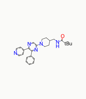 CC(C)(C)C(=O)NCC1CCN(c2cnc(-c3ccncc3)c(-c3ccccc3)n2)CC1